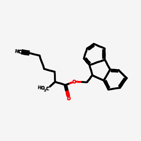 C#CCCCC(C(=O)O)C(=O)OCC1c2ccccc2-c2ccccc21